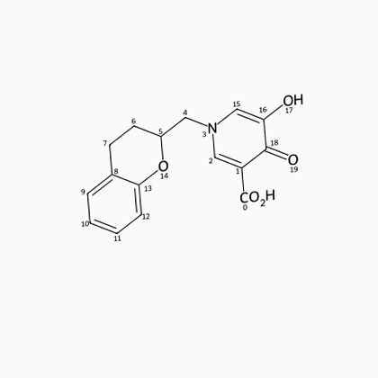 O=C(O)c1cn(CC2CCc3ccccc3O2)cc(O)c1=O